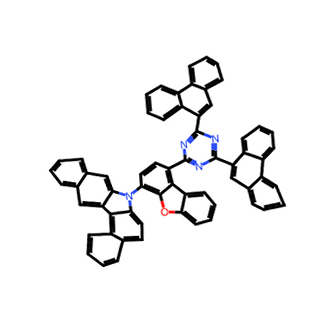 c1ccc2cc3c(cc2c1)c1c2ccccc2ccc1n3-c1ccc(-c2nc(-c3cc4ccccc4c4ccccc34)nc(-c3cc4ccccc4c4ccccc34)n2)c2c1oc1ccccc12